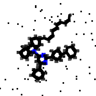 C\C=C/C=C\C=C\C=C/Cc1ccc2c3ccccc3n(-c3cc(-c4ccccc4)nc(-c4ccc(C5C=CC=CC5)cc4)n3)c2c1